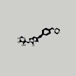 O=C1N(Cc2nc[nH]c(=O)c2O)Cc2cc(C#Cc3ccc(CN4CCOCC4)cc3)cn21